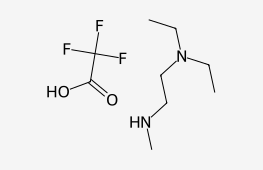 CCN(CC)CCNC.O=C(O)C(F)(F)F